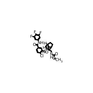 COC(=O)NCC(O)[C@@]1(O)C2CC[C@H]1C[C@H](Sc1cc(C(=O)Nc3cc(F)c(F)c(F)c3)ccc1Cl)C2